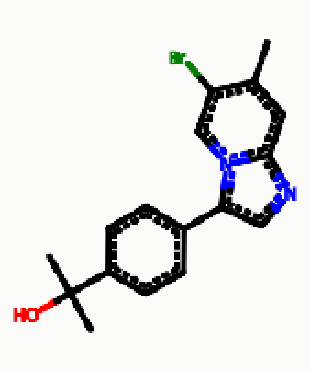 Cc1cc2ncc(-c3ccc(C(C)(C)O)cc3)n2cc1Br